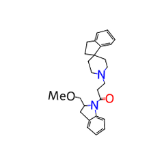 COCC1Cc2ccccc2N1C(=O)CCN1CCC2(CCc3ccccc32)CC1